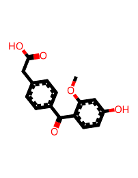 COc1cc(O)ccc1C(=O)c1ccc(CC(=O)O)cc1